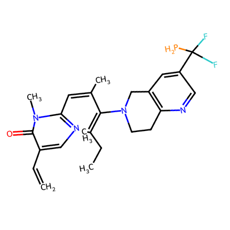 C=Cc1cnc(/C=C(C)\C(=C(/C)CC)N2CCc3ncc(C(F)(F)P)cc3C2)n(C)c1=O